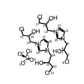 O=S(=O)([O-])[O-].OC(CCl)Cn1cc[n+](CC(O)CCl)c1.OC(CCl)Cn1cc[n+](CC(O)CCl)c1